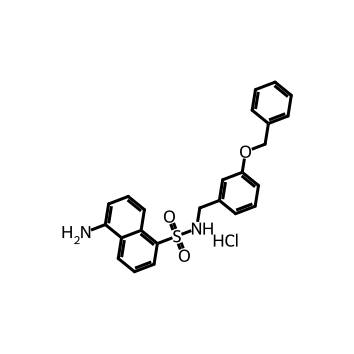 Cl.Nc1cccc2c(S(=O)(=O)NCc3cccc(OCc4ccccc4)c3)cccc12